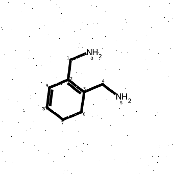 NCC1=C(CN)CCC=C1